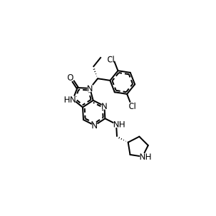 CC[C@H](c1cc(Cl)ccc1Cl)n1c(=O)[nH]c2cnc(NC[C@@H]3CCNC3)nc21